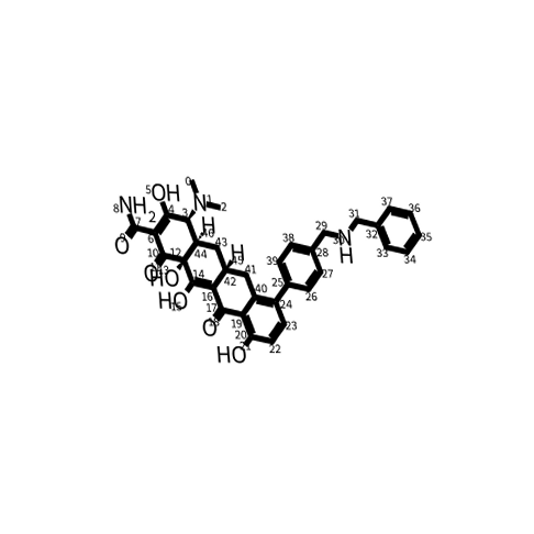 CN(C)[C@@H]1C(O)=C(C(N)=O)C(=O)[C@@]2(O)C(O)=C3C(=O)c4c(O)ccc(-c5ccc(CNCc6ccccc6)cc5)c4C[C@H]3C[C@H]12